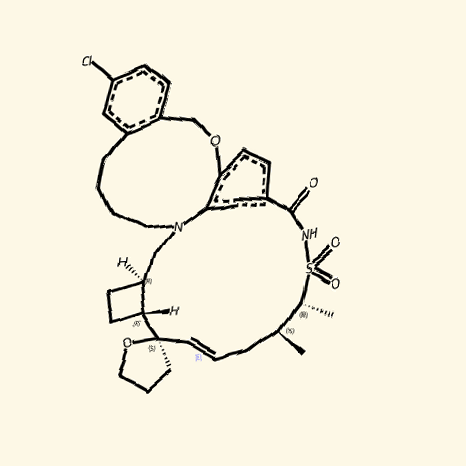 C[C@@H]1[C@@H](C)C/C=C/[C@]2(CCCO2)[C@@H]2CC[C@H]2CN2CCCCc3cc(Cl)ccc3COc3ccc(cc32)C(=O)NS1(=O)=O